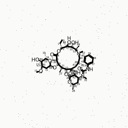 CC[C@H]1OC(=O)[C@H](C)[C@@H](O[C@H]2C[C@@](C)(OC)[C@@H](O)[C@H](C)O2)[C@H](C)[C@@H](O[C@@H]2O[C@H](C)C[C@H](N(C)C(=O)Nc3ccccc3)[C@H]2O)[C@](C)(O)C[C@@H](C)CN(C)[C@H](C)[C@@H](O)[C@]1(C)O